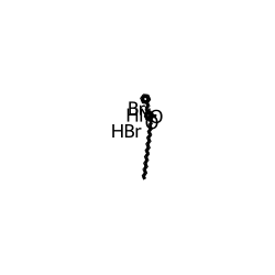 Br.CCCCCCCCCCCCCCCCCCOc1c[nH]c(C(Br)Cc2ccccc2)cc1=O